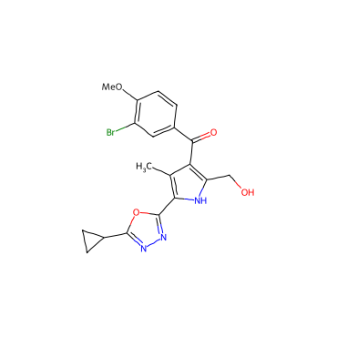 COc1ccc(C(=O)c2c(CO)[nH]c(-c3nnc(C4CC4)o3)c2C)cc1Br